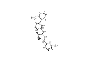 Cc1ccccc1-c1ccc2nc(N)c(C=Cc3cncc(Br)c3)cc2c1